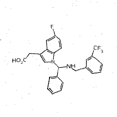 O=C(O)Cc1cn(C(NCc2cccc(C(F)(F)F)c2)c2ccccc2)c2ccc(F)cc12